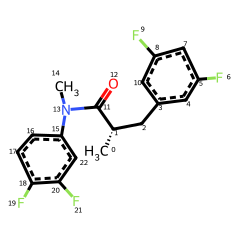 C[C@@H](Cc1cc(F)cc(F)c1)C(=O)N(C)c1ccc(F)c(F)c1